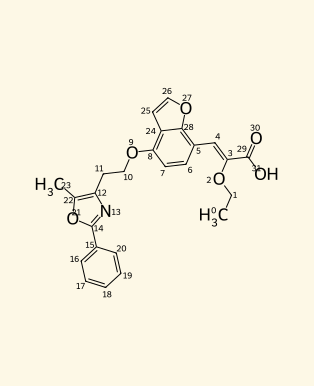 CCOC(=Cc1ccc(OCCc2nc(-c3ccccc3)oc2C)c2ccoc12)C(=O)O